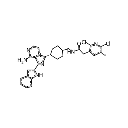 Nc1nccn2c1c(-c1cc3ccccc3[nH]1)nc2[C@H]1CC[C@H](CNC(=O)Cc2cc(F)c(Cl)nc2Cl)CC1